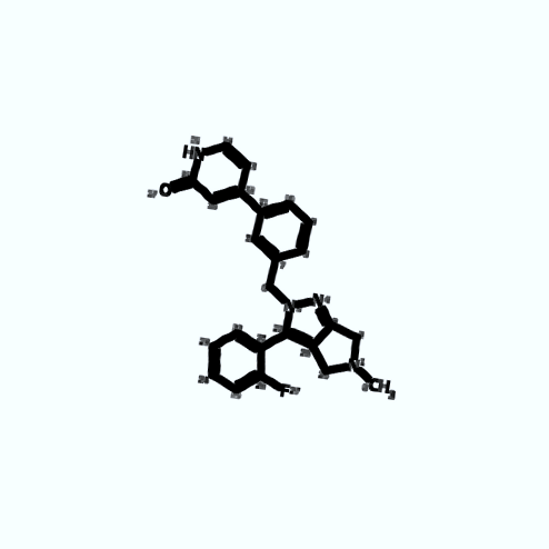 CN1Cc2nn(Cc3cccc(-c4cc[nH]c(=O)c4)c3)c(-c3ccccc3F)c2C1